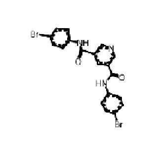 O=C(Nc1ccc(Br)cc1)c1cncc(C(=O)Nc2ccc(Br)cc2)c1